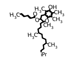 C/C=C/C=C/C(=O)OC1Cc2c(C)c(O)c(C)c(C)c2O[C@@]1(C)CCC[C@H](C)CCC[C@@H](C)CCCC(C)C